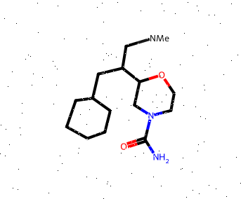 CNCC(CC1CCCCC1)C1CN(C(N)=O)CCO1